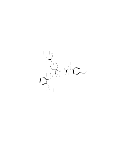 CCc1ccc(NC(=O)OCC2(C(=O)NCc3ccccc3CO)CCN(C(=O)CN)CC2)cc1